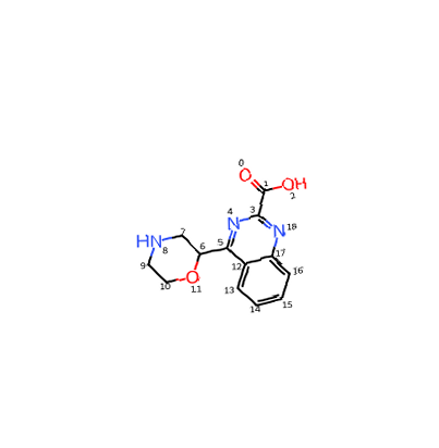 O=C(O)c1nc(C2CNCCO2)c2ccccc2n1